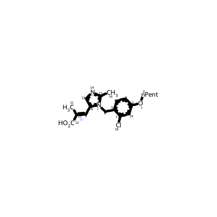 CCCCCOc1ccc(Cn2c(/C=C(\C)C(=O)O)cnc2C)c(Cl)c1